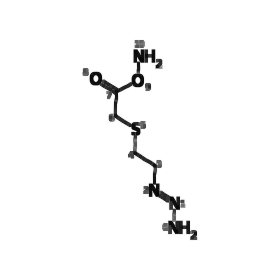 NN=NCCSCC(=O)ON